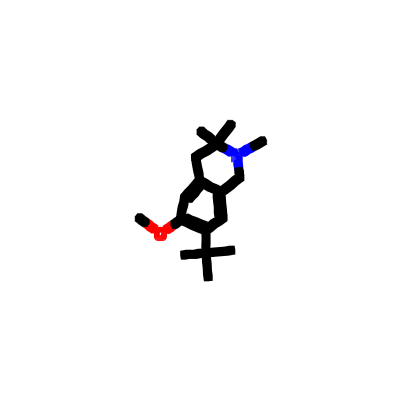 COc1cc2c(cc1C(C)(C)C)CN(C)C(C)(C)C2